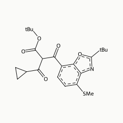 CSc1ccc(C(=O)C(C(=O)OC(C)(C)C)C(=O)C2CC2)c2oc(C(C)(C)C)nc12